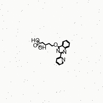 O=P(O)(O)CCCCOc1nc(-c2ccccn2)nc2ccccc12